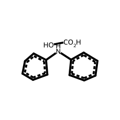 O=C(O)O.c1ccc(Nc2ccccc2)cc1